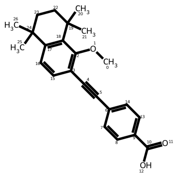 COc1c(C#Cc2ccc(C(=O)O)cc2)ccc2c1C(C)(C)CCC2(C)C